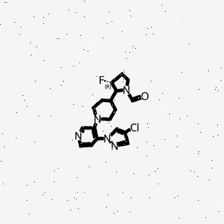 O=CN1CC[C@@H](F)C1C1CCN(c2cnccc2-n2cc(Cl)cn2)CC1